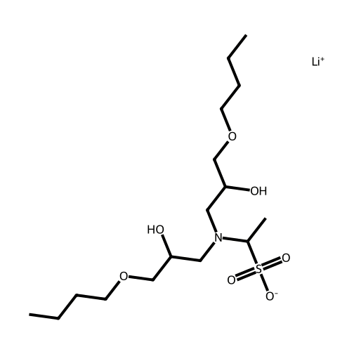 CCCCOCC(O)CN(CC(O)COCCCC)C(C)S(=O)(=O)[O-].[Li+]